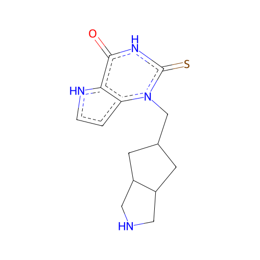 O=c1[nH]c(=S)n(CC2CC3CNCC3C2)c2cc[nH]c12